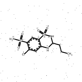 CCCC1Nc2cc(Cl)c(S(N)(=O)=O)cc2S(=O)(=O)N1